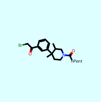 CCCCCC(=O)N1CCC(C)(c2cccc(C(=O)CBr)c2)C(C)C1